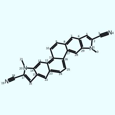 Cn1c(C#N)cc2cc3ccc4c5cc6c(cc(C#N)n6C)cc5ccc4c3cc21